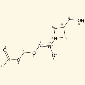 CC(=O)OCON=[N+]([O-])N1CC(CO)C1